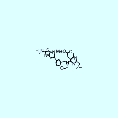 COC(=O)Cc1c(C)nc(CN(C)C)nc1N1CCOc2ccc(-c3cnc4sc(N)nc4c3)cc2C1